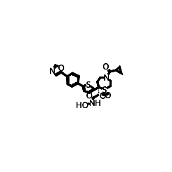 O=C(C[C@]1(c2ccc(-c3ccc(-c4cnco4)cc3)s2)CCN(C(=O)C2CC2)CCS1(=O)=O)NO